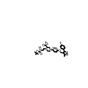 COC(=O)C1CN(c2ccc(OCc3c(-c4ccc(F)cc4)noc3C)nn2)CCN1CCNC(=O)OC(C)(C)C